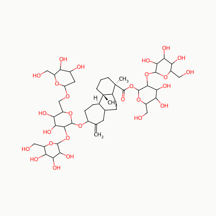 C=C1CC2CCC3[C@](C)(C(=O)OC4OC(CO)C(O)C(O)C4OC4OC(CO)C(O)C(O)C4O)CCC[C@@]3(C)[C@@H]2CCC1OC1OC(COC2CC(O)C(O)C(CO)O2)C(O)C(O)C1OC1OC(CO)C(O)C(O)C1O